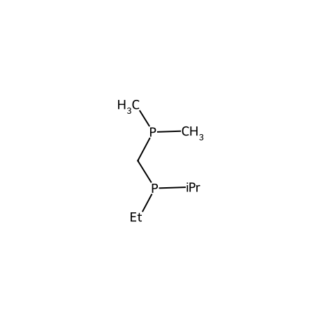 CCP(CP(C)C)C(C)C